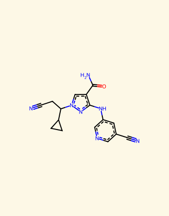 N#CCC(C1CC1)n1cc(C(N)=O)c(Nc2cncc(C#N)c2)n1